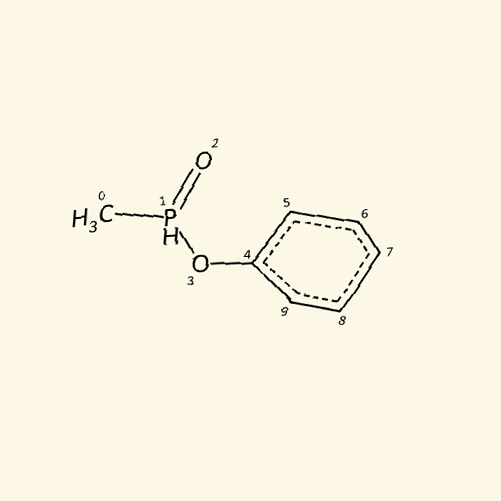 C[PH](=O)Oc1ccccc1